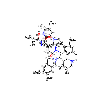 CC[C@H]1CN2CCc3cc(OC)c(OC)cc3C2C[C@@H]1C[C@@H]1c2cc(OC)c(OC)cc2CCN1CCNC(=O)[C@H](C)[C@@H](OC)C1CCCN1C(=O)C[C@@H](OC)[C@H]([C@@H](C)CC)N(C)C(=O)[C@@H](NC(=O)[C@@H](NC)C(C)C)C(C)C